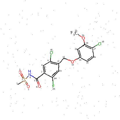 CS(=O)(=O)NC(=O)c1cc(Cl)c(COc2ccc(Cl)c(OC(F)(F)F)c2)cc1F